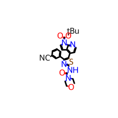 CC(C)(C)OC(=O)n1ccc2c(-c3sc(NC(=O)N4CCOCC4)nc3-c3cccc(C#N)c3)ccnc21